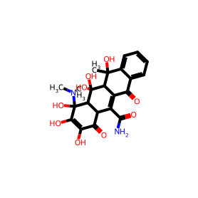 CN(C)C1(O)C(O)=C(O)C(=O)C2C(C(N)=O)=C3C(=O)c4ccccc4C(C)(O)C3C(O)(O)C21